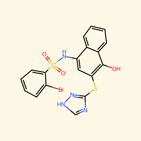 O=S(=O)(Nc1cc(Sc2nc[nH]n2)c(O)c2ccccc12)c1ccccc1Br